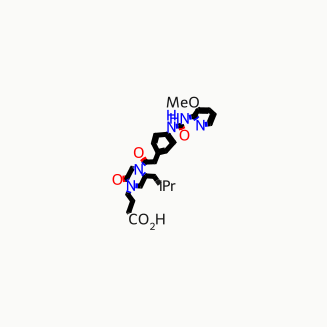 COc1cccnc1NC(=O)Nc1ccc(CC(=O)N2CC(=O)N(CCCC(=O)O)CC2CC(C)C)cc1